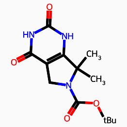 CC(C)(C)OC(=O)N1Cc2c([nH]c(=O)[nH]c2=O)C1(C)C